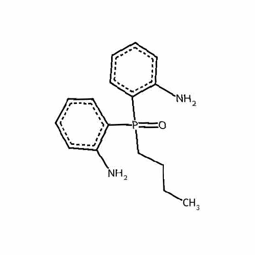 CCCCP(=O)(c1ccccc1N)c1ccccc1N